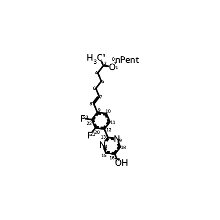 CCCCCOC(C)CCCC=Cc1ccc(-c2ncc(O)cn2)c(F)c1F